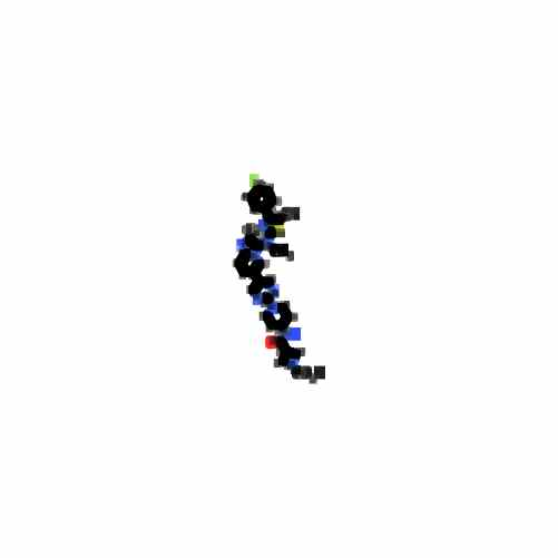 CCc1nc2ccc(-c3cnc(N4CCC(NC(=O)C5CN(C(=O)O)C5)CC4)nc3)cn2c1N(C)c1nc(-c2ccc(F)cc2)c(C#N)s1